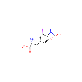 COC(=O)[C@H](N)Cc1cc(I)c2[nH]c(=O)oc2c1